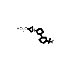 CC(C)(F)c1cccc(-c2cccc(N3CC(C(=O)O)C3)c2)c1